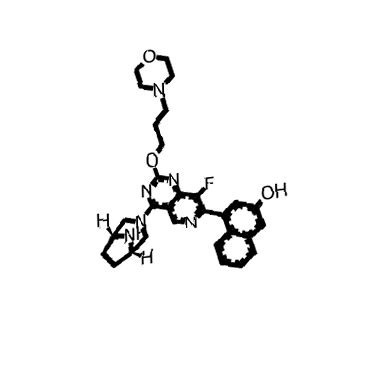 Oc1cc(-c2ncc3c(N4C[C@H]5CC[C@@H](C4)N5)nc(OCCCN4CCOCC4)nc3c2F)c2ccccc2c1